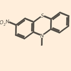 CN1c2ccccc2Sc2cc([N+](=O)[O-])ccc21